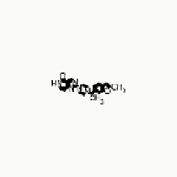 C[C@H]1Cc2ccc([C@H](C)N3CCN(c4ncc5c(n4)CCNC5=O)CC3)cc2O1